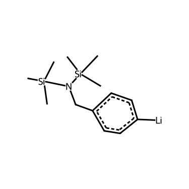 [Li][c]1ccc(CN([Si](C)(C)C)[Si](C)(C)C)cc1